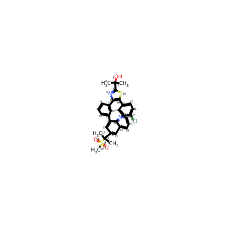 CC(C)(O)c1nc(-c2cccc(-c3cc(C(C)(C)S(C)(=O)=O)cc4cccnc34)c2)c(-c2ccc(Cl)cc2)s1